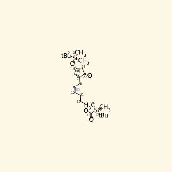 CC(C)(C)[Si](C)(C)O[C@H]1C=C(C/C=C\CCCOC(=O)[Si](C)(C)C(C)(C)C)C(=O)C1